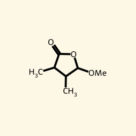 COC1OC(=O)C(C)C1C